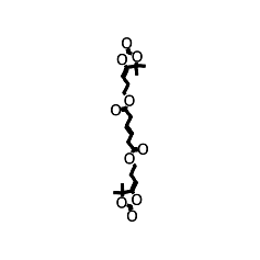 CC1(C)OC(=O)O/C1=C/CCOC(=O)C/C=C/CC(=O)OCC/C=C1/OC(=O)OC1(C)C